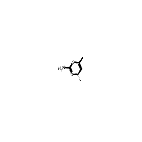 CC1=C[C@H](C)N=C(N)S1